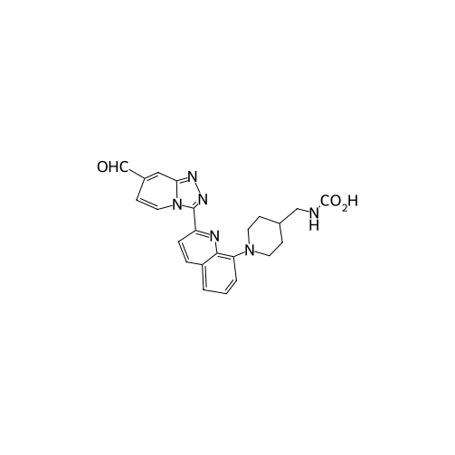 O=Cc1ccn2c(-c3ccc4cccc(N5CCC(CNC(=O)O)CC5)c4n3)nnc2c1